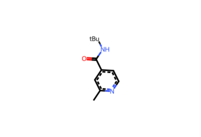 Cc1cc(C(=O)NC(C)(C)C)ccn1